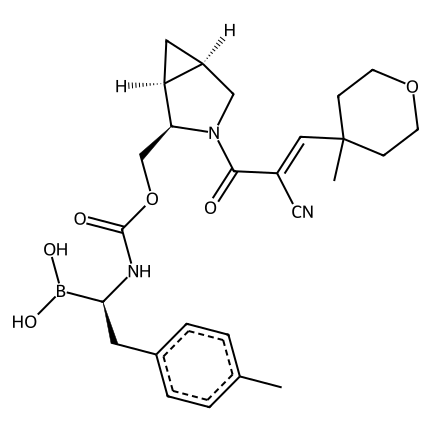 Cc1ccc(C[C@H](NC(=O)OC[C@H]2[C@H]3C[C@H]3CN2C(=O)C(C#N)=CC2(C)CCOCC2)B(O)O)cc1